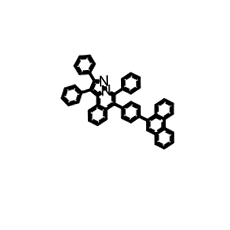 c1ccc(-c2nn3c(-c4ccccc4)c(-c4ccc(-c5cc6ccccc6c6ccccc56)cc4)c4ccccc4c3c2-c2ccccc2)cc1